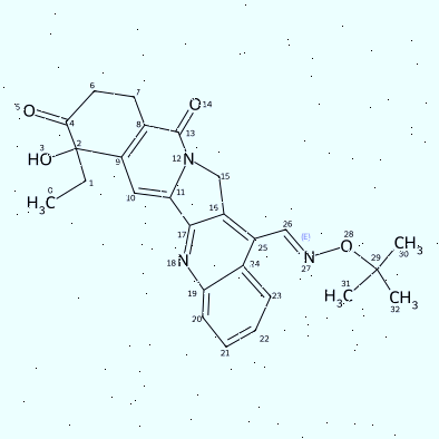 CCC1(O)C(=O)CCc2c1cc1n(c2=O)Cc2c-1nc1ccccc1c2/C=N/OC(C)(C)C